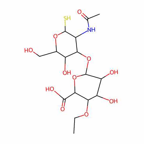 CCOC1C(C(=O)O)OC(OC2C(O)C(CO)OC(S)C2NC(C)=O)C(O)C1O